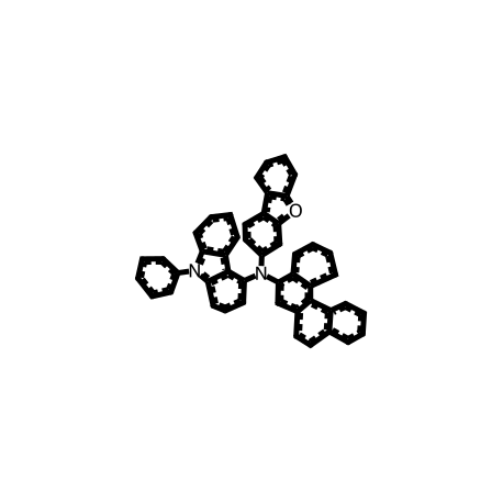 c1ccc(-n2c3ccccc3c3c(N(c4ccc5c(c4)oc4ccccc45)c4cc5ccc6ccccc6c5c5ccccc45)cccc32)cc1